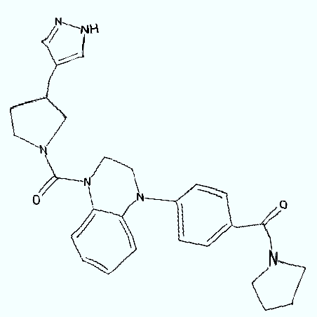 O=C(c1ccc(N2CCN(C(=O)N3CCC(c4cn[nH]c4)C3)c3ccccc32)cc1)N1CCCC1